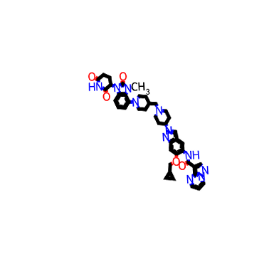 Cn1c(=O)n(C2CCC(=O)NC2=O)c2cccc(N3CCC(CN4CCC(n5cc6cc(NC(=O)c7cnn8cccnc78)c(OCC7CC7)cc6n5)CC4)CC3)c21